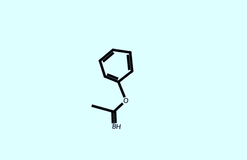 B=C(C)Oc1ccccc1